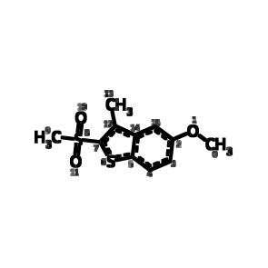 COc1ccc2sc(S(C)(=O)=O)c(C)c2c1